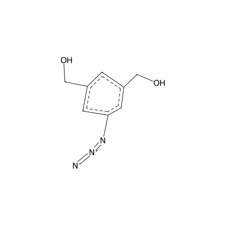 [N-]=[N+]=Nc1cc(CO)cc(CO)c1